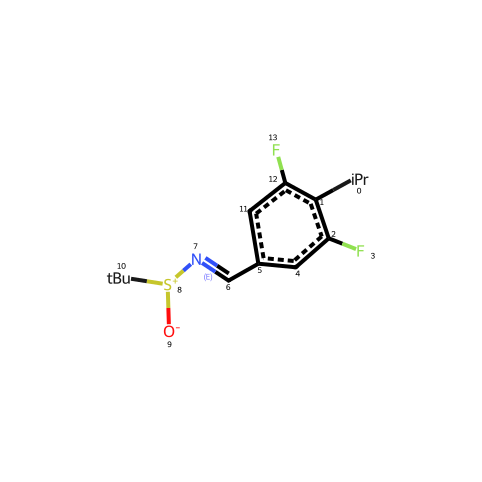 CC(C)c1c(F)cc(/C=N/[S+]([O-])C(C)(C)C)cc1F